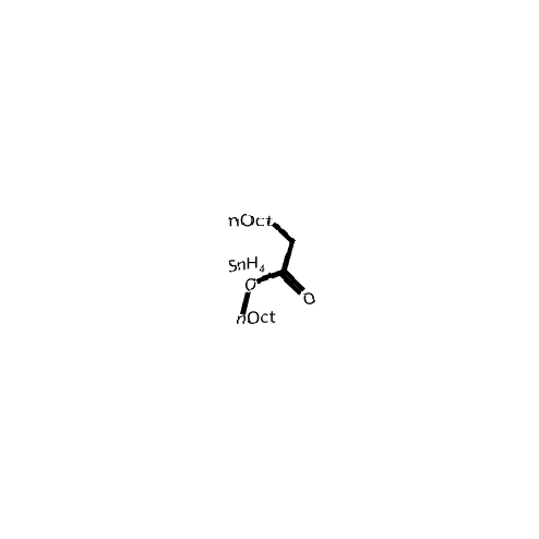 CCCCCCCCCC(=O)OCCCCCCCC.[SnH4]